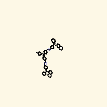 Cc1ccc(N(c2ccc(/C=C/c3ccc(N(c4ccccc4)c4ccc5c(c4)CCCC5)cc3)cc2)c2ccc(/C=C/c3ccc(N(c4ccccc4)c4cccc5c4CCCC5)cc3)cc2)cc1